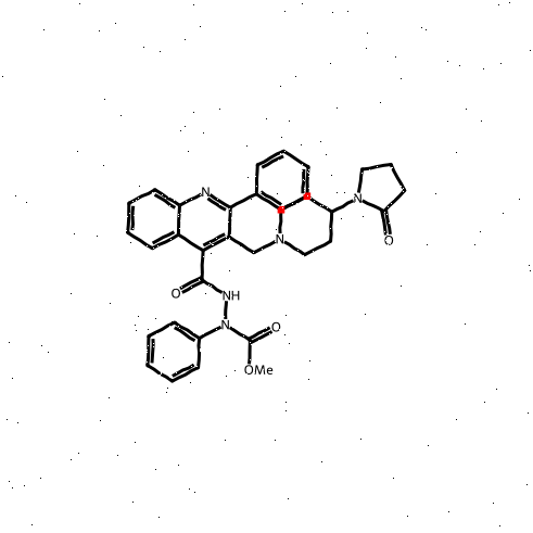 COC(=O)N(NC(=O)c1c(CN2CCC(N3CCCC3=O)CC2)c(-c2ccccc2)nc2ccccc12)c1ccccc1